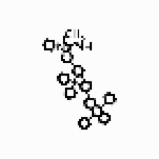 C=Cc1c(C=N)c2cc(-c3ccc4c(c3)C(c3ccccc3)(c3ccccc3)c3cc(-c5ccc6c(-c7ccccc7)c7ccccc7c(-c7ccccc7)c6c5)ccc3-4)ccc2n1-c1ccccc1